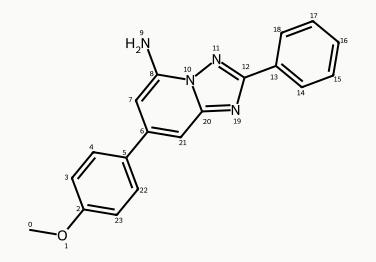 COc1ccc(-c2cc(N)n3nc(-c4ccccc4)nc3c2)cc1